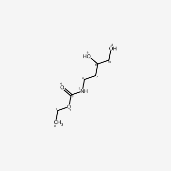 CCOC(=O)NCCC(O)CO